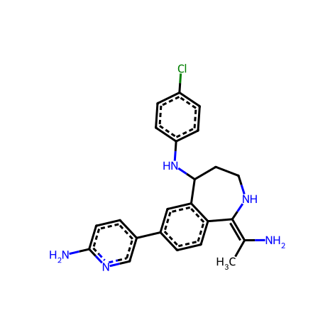 C/C(N)=C1/NCCC(Nc2ccc(Cl)cc2)c2cc(-c3ccc(N)nc3)ccc21